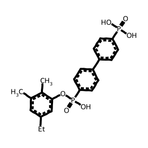 CCc1cc(C)c(C)c(OP(=O)(O)c2ccc(-c3ccc(P(=O)(O)O)cc3)cc2)c1